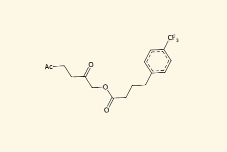 CC(=O)CCC(=O)COC(=O)CCCc1ccc(C(F)(F)F)cc1